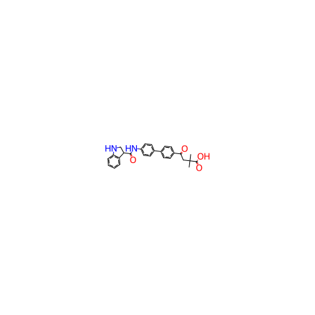 CC(C)(CC(=O)c1ccc(-c2ccc(NC(=O)C3CNc4ccccc43)cc2)cc1)C(=O)O